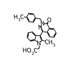 Cc1ccc(Cn2nc(-c3c(C)n(CC(=O)O)c4ccccc34)c3ccccc3c2=O)cc1